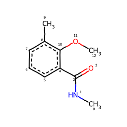 CNC(=O)c1cccc(C)c1OC